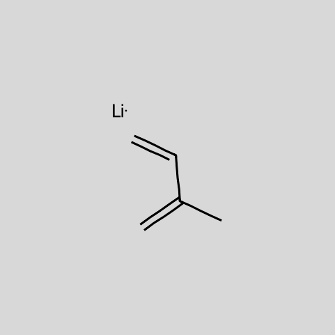 C=CC(=C)C.[Li]